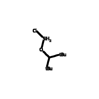 CC(C)(C)C(O[SiH2]Cl)C(C)(C)C